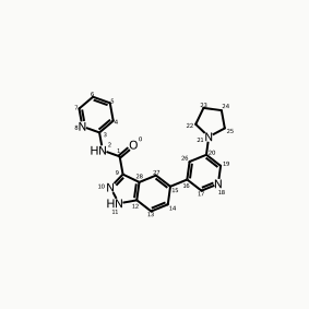 O=C(Nc1ccccn1)c1n[nH]c2ccc(-c3cncc(N4CCCC4)c3)cc12